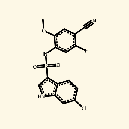 COc1cc(C#N)c(F)cc1NS(=O)(=O)c1c[nH]c2cc(Cl)ccc12